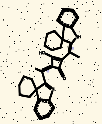 C/C(C1=Nc2ccccc2C12CCCCC2)=C1/C(=O)C(C(/C)=C2/Nc3ccccc3C23CCCCC3)=C1O